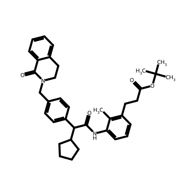 Cc1c(CCC(=O)OC(C)(C)C)cccc1NC(=O)C(c1ccc(CN2CCc3ccccc3C2=O)cc1)C1CCCC1